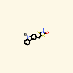 CCn1c2ccccc2c2cc(/C=C3/SC(=O)NC3=S)ccc21